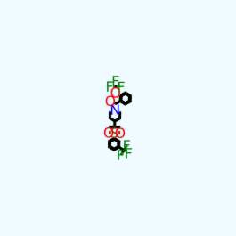 CC(C)(C1CCN(C(=O)c2ccccc2OC(F)(F)F)CC1)S(=O)(=O)c1cccc(C(F)(F)F)c1